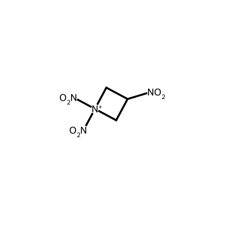 O=[N+]([O-])C1C[N+]([N+](=O)[O-])([N+](=O)[O-])C1